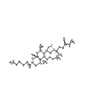 CCCCC1C(C2CC[C@H]([C@H](C)CCC(=O)OC)C2)[C@H](O)C[C@H]2C[C@@H](NCCCCN)CC[C@]12C